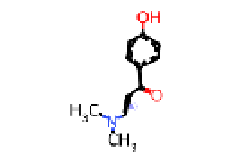 CN(C)/C=C/C(=O)c1ccc(O)cc1